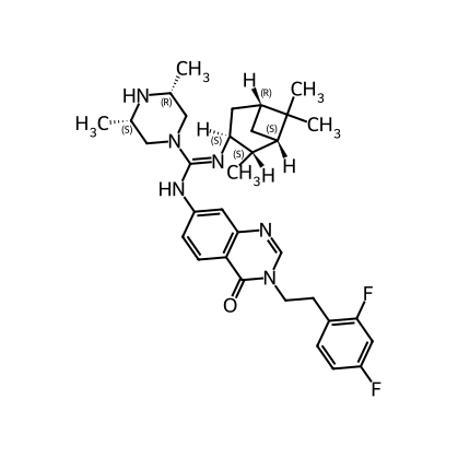 C[C@@H]1[C@@H](N=C(Nc2ccc3c(=O)n(CCc4ccc(F)cc4F)cnc3c2)N2C[C@@H](C)N[C@@H](C)C2)C[C@H]2C[C@@H]1C2(C)C